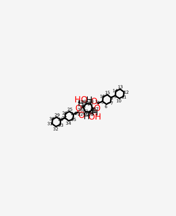 O[C@@H]1[C@H]2OC(C3CCC(C4CCCCC4)CC3)O[C@H]2[C@@H](O)[C@@H]2OC(C3CCC(C4CCCCC4)CC3)O[C@@H]12